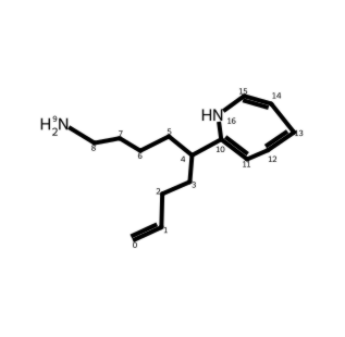 C=CCCC(CCCCN)C1=CC=CC=CN1